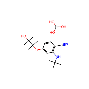 CC(C)(C)Nc1cc(OC(C)(C)C(C)(C)O)ccc1C#N.OB(O)O